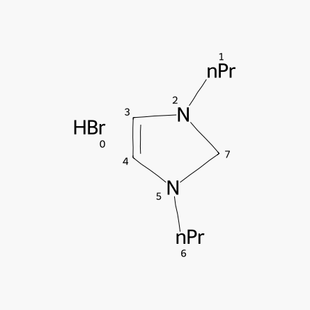 Br.CCCN1C=CN(CCC)C1